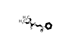 CCN(CC)C(=S)SCC[S+]([O-])c1ccccc1